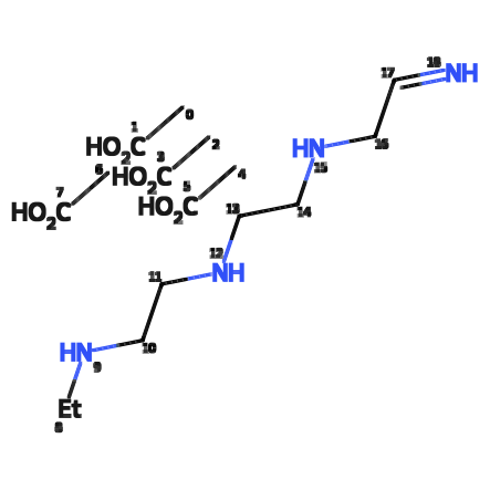 CC(=O)O.CC(=O)O.CC(=O)O.CC(=O)O.CCNCCNCCNCC=N